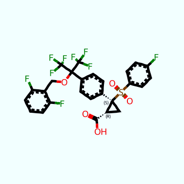 O=C(O)[C@H]1C[C@]1(c1ccc(C(OCc2c(F)cccc2F)(C(F)(F)F)C(F)(F)F)cc1)S(=O)(=O)c1ccc(F)cc1